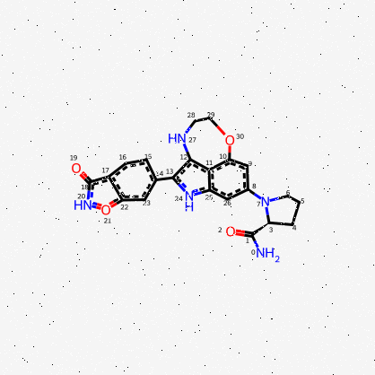 NC(=O)[C@@H]1CCCN1c1cc2c3c(c(-c4ccc5c(=O)[nH]oc5c4)[nH]c3c1)NCCO2